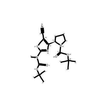 CN(C(=O)OC(C)(C)C)c1nc([C@H]2CCCN2C(=O)OC(C)(C)C)c(C#N)s1